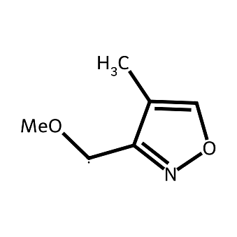 CO[CH]c1nocc1C